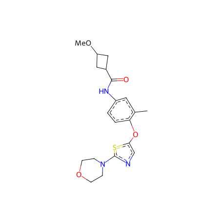 COC1CC(C(=O)Nc2ccc(Oc3cnc(N4CCOCC4)s3)c(C)c2)C1